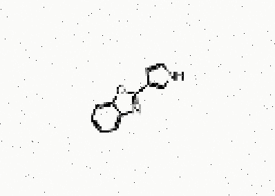 c1ccc2oc(-c3cc[nH]c3)nc2c1